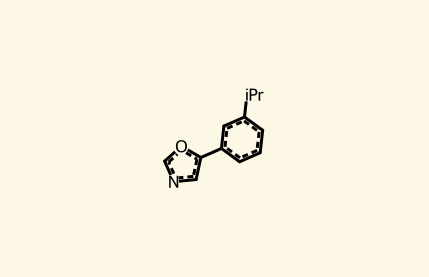 CC(C)c1cccc(-c2cnco2)c1